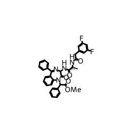 COC(=O)C(c1ccccc1)N1C(=O)C(NC(=O)[C@H](C)NC(=O)Cc2cc(F)cc(F)c2)N=C(c2ccccc2)c2ccccc21